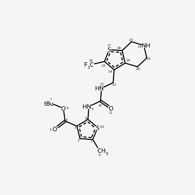 Cc1cc(C(=O)OC(C)(C)C)c(NC(=O)NCc2c(C(F)(F)F)sc3c2CCNC3)s1